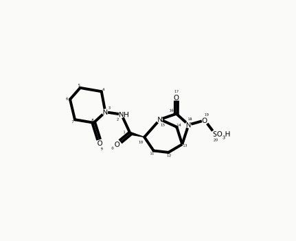 O=C(NN1CCCCC1=O)[C@@H]1CCC2CN1C(=O)N2OS(=O)(=O)O